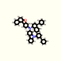 c1ccc(-c2cccc(-n3c4ccccc4c4ccc(N(c5ccc6c(c5)oc5ccc7ccccc7c56)c5ccc(-c6ccccc6)c6ccccc56)cc43)c2)cc1